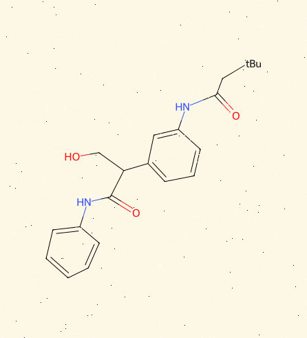 CC(C)(C)CC(=O)Nc1cccc(C(CO)C(=O)Nc2ccccc2)c1